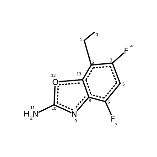 CCc1c(F)cc(F)c2nc(N)oc12